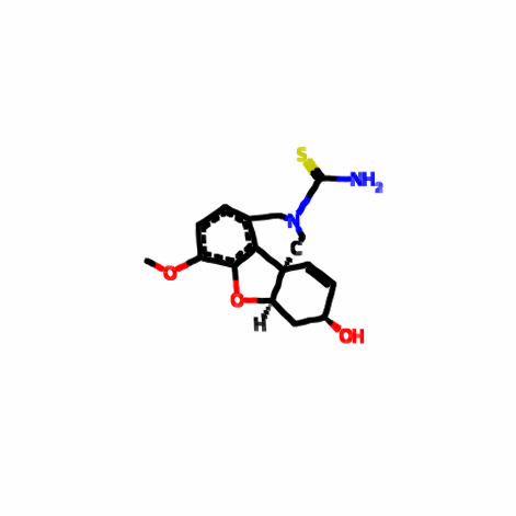 COc1ccc2c3c1O[C@@H]1C[C@H](O)C=C[C@]31CCN(C(N)=S)C2